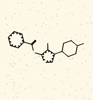 CC(C)(C)C1CCC(c2csc(NC(=O)c3ccccc3)c2C(=O)O)CC1